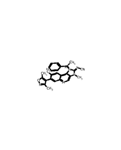 Cc1cc2c(cc1-c1c(C)noc1C)ncc1c2n([C@H](C)c2ccccc2)c(=NC#N)n1C